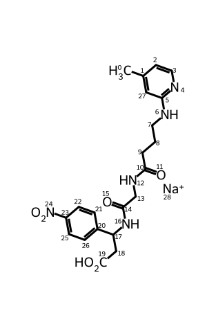 Cc1ccnc(NCCCC(=O)NCC(=O)NC(CC(=O)O)c2ccc([N+](=O)[O-])cc2)c1.[Na+]